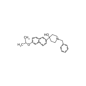 CC(C)Oc1ccc2cc(C3(O)CCN(Cc4ccccc4)CC3)ccc2c1